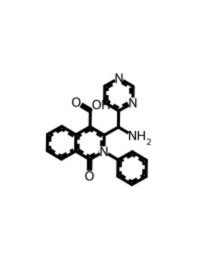 NC(c1ccncn1)c1c(C(=O)O)c2ccccc2c(=O)n1-c1ccccc1